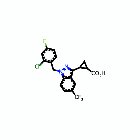 O=C(O)C1CC1c1nn(Cc2ccc(F)cc2Cl)c2ccc(C(F)(F)F)cc12